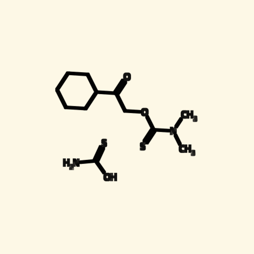 CN(C)C(=S)OCC(=O)C1CCCCC1.NC(O)=S